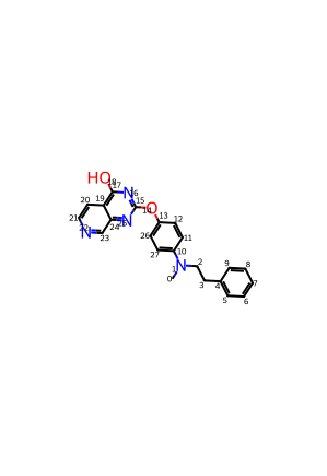 CN(CCc1ccccc1)c1ccc(Oc2nc(O)c3ccncc3n2)cc1